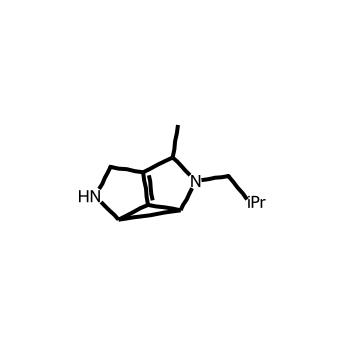 CC(C)CN1C(C)C2=C3C(NC2)C31